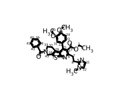 CCOC(=O)c1c(CCc2nccn2C)nc2sc3c(c2c1-c1ccc(OC)c(OC)c1)CCN(C(=O)c1ccccc1)C3